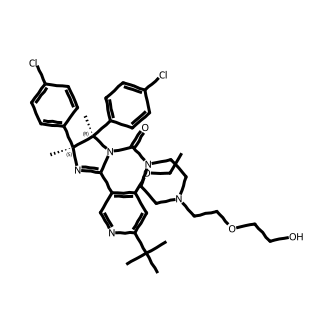 CCOc1cc(C(C)(C)C)ncc1C1=N[C@@](C)(c2ccc(Cl)cc2)[C@@](C)(c2ccc(Cl)cc2)N1C(=O)N1CCN(CCOCCO)CC1